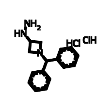 Cl.Cl.NNC1CN(C(c2ccccc2)c2ccccc2)C1